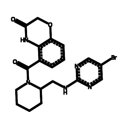 O=C1COc2cccc(C(=O)N3CCCCC3CNc3ncc(Br)cn3)c2N1